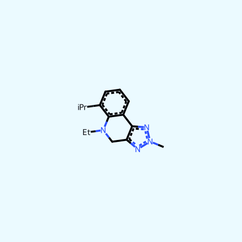 CCN1Cc2nn(C)nc2-c2cccc(C(C)C)c21